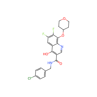 O=C(NCc1ccc(Cl)cc1)c1cnc2c(OC3CCOCC3)c(F)c(F)cc2c1O